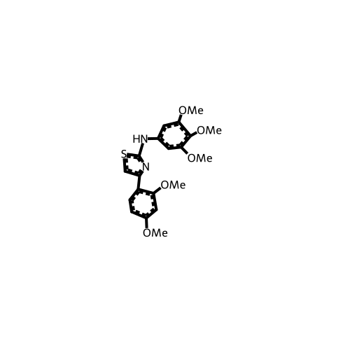 COc1ccc(-c2csc(Nc3cc(OC)c(OC)c(OC)c3)n2)c(OC)c1